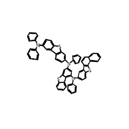 c1ccc(N(c2ccc3c(c2)sc2ccc(N(c4ccccc4)c4ccccc4)cc23)c2cc(N(c3ccccc3)c3ccc4sc5c6ccccc6ccc5c4c3)c3c(c2)sc2ccccc23)cc1